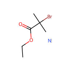 CCOC(=O)C(C)(C)Br.[N]